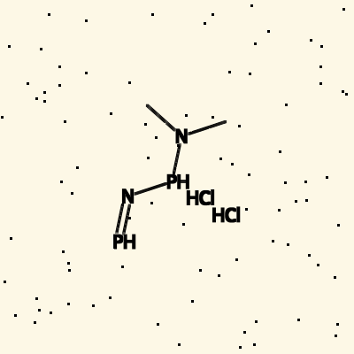 CN(C)PN=P.Cl.Cl